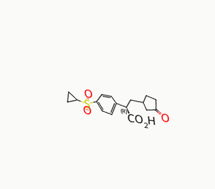 O=C1CCC(C[C@@H](C(=O)O)c2ccc(S(=O)(=O)C3CC3)cc2)C1